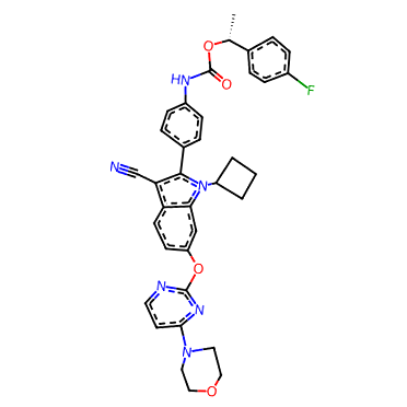 C[C@@H](OC(=O)Nc1ccc(-c2c(C#N)c3ccc(Oc4nccc(N5CCOCC5)n4)cc3n2C2CCC2)cc1)c1ccc(F)cc1